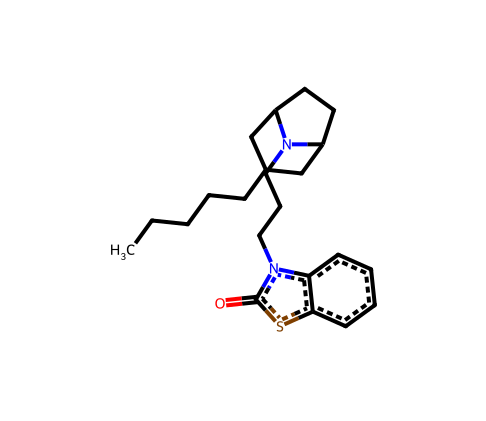 CCCCCC1CC2CCC(C1)N2CCCn1c(=O)sc2ccccc21